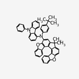 CC(C)(C)c1ccc(N(c2cc3c(c4c2oc2ccccc24)-c2c(ccc4oc5ccccc5c24)C3(C)C)c2cccc3c2c2ccccc2n3-c2ccccc2)cc1